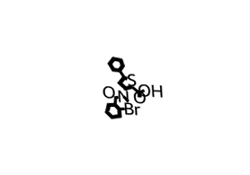 CN(C(=O)c1ccccc1Br)c1cc(-c2ccccc2)sc1C(=O)O